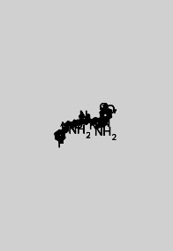 COc1cc2ncc3c(N)nc(-c4cncc(OC[C@@H](N)CN(C)Cc5cccc(F)c5)c4)cc3c2cc1OC